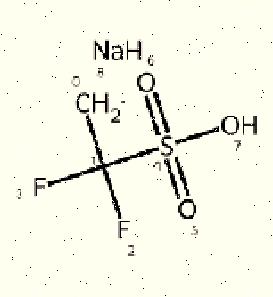 [CH2]C(F)(F)S(=O)(=O)O.[NaH]